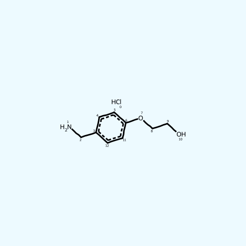 Cl.NCc1ccc(OCCO)cc1